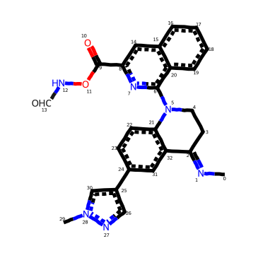 CN=C1CCN(c2nc(C(=O)ONC=O)cc3ccccc23)c2ccc(-c3cnn(C)c3)cc21